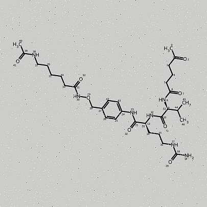 CC(=O)CCCC(=O)N[C@H](C(=O)N[C@@H](CCCNC(N)=O)C(=O)Nc1ccc(CONC(=O)CCCCCNC(C)=O)cc1)C(C)C